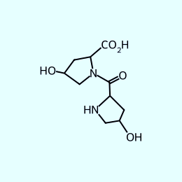 O=C(O)C1CC(O)CN1C(=O)C1CC(O)CN1